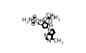 Cc1ncnc2c1ccn2[C@@H]1C[C@@H](COS(N)(=O)=O)[C@H]2OC(C)(C)O[C@H]21